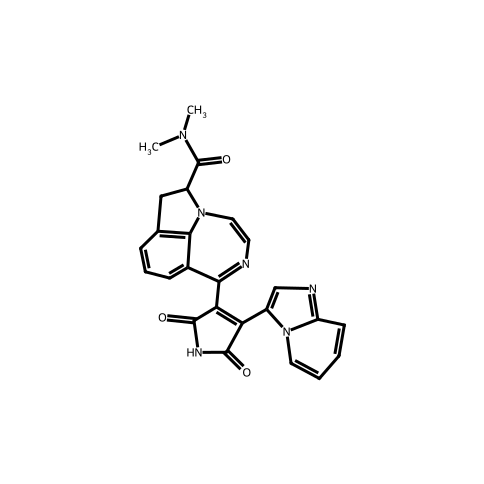 CN(C)C(=O)C1Cc2cccc3c2N1C=CN=C3C1=C(c2cnc3ccccn23)C(=O)NC1=O